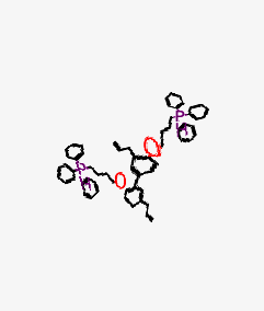 C=CCc1ccc(OCCCC[PH](c2ccccc2)(c2ccccc2)c2ccccc2)c(-c2ccc(OCCCC[PH](c3ccccc3)(c3ccccc3)c3ccccc3)c(CC=C)c2)c1